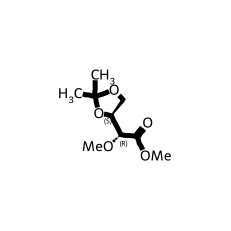 COC(=O)[C@H](OC)[C@@H]1COC(C)(C)O1